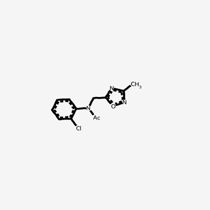 CC(=O)N(Cc1nc(C)no1)c1ccccc1Cl